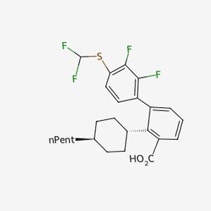 CCCCC[C@H]1CC[C@H](c2c(C(=O)O)cccc2-c2ccc(SC(F)F)c(F)c2F)CC1